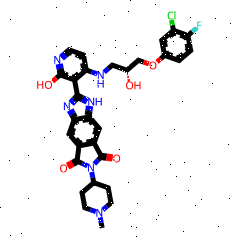 CN1CCC(N2C(=O)c3cc4nc(-c5c(NC[C@@H](O)COc6ccc(F)c(Cl)c6)ccnc5O)[nH]c4cc3C2=O)CC1